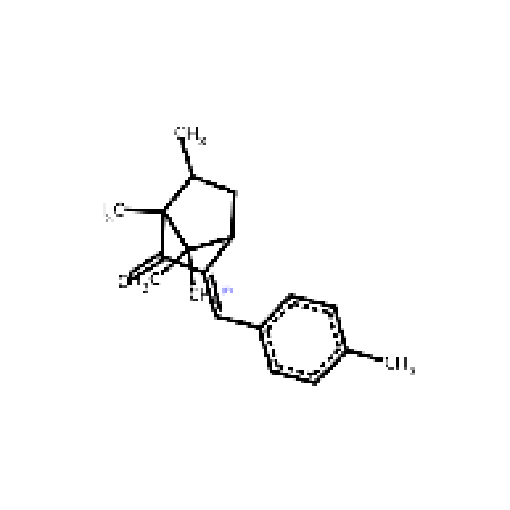 Cc1ccc(/C=C2/C(=O)C3(C)C(C)CC2C3(C)C)cc1